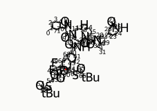 Cc1ccc2onc(C(=O)N3CC[C@H]4CC[C@@H](C(=O)N5C[C@H](c6cc[nH]c(=O)c6)CC56CC6)N4C(=O)[C@@H](NC(=O)c4ccc5ccc(C(F)(F)P(=O)(OCCSC(=O)C(C)(C)C)OCCSC(=O)C(C)(C)C)cc5c4)C3)c2c1